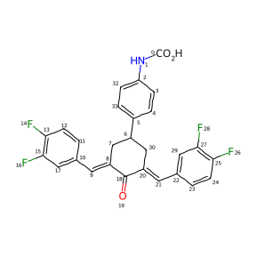 O=C(O)Nc1ccc(C2CC(=Cc3ccc(F)c(F)c3)C(=O)C(=Cc3ccc(F)c(F)c3)C2)cc1